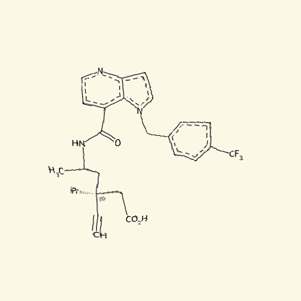 C#C[C@](CC(=O)O)(CC(C)NC(=O)c1ccnc2ccn(Cc3ccc(C(F)(F)F)cc3)c12)C(C)C